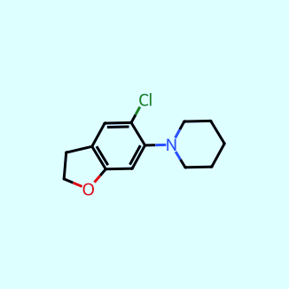 Clc1cc2c(cc1N1CCCCC1)OCC2